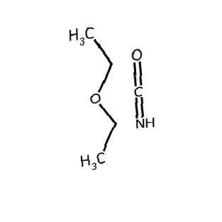 CCOCC.N=C=O